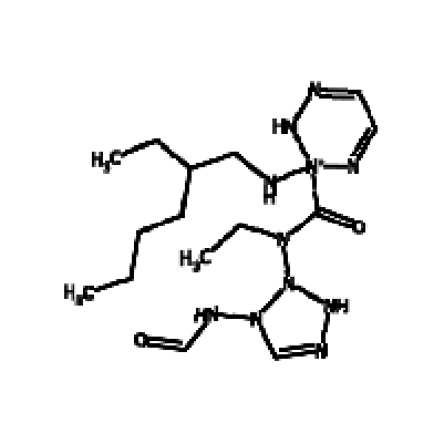 CCCCC(CC)CN[N+]1(C(=O)N(CC)N2NN=CN2NC=O)N=CC=NN1